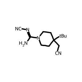 CC(C)(C)C1(CC#N)CCN(/C(N)=N/C#N)CC1